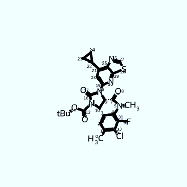 Cc1ccc(N(C)C(=O)[C@@H]2CN(C(=O)OC(C)(C)C)C(=O)N2c2cc(C3CC3)c3ncsc3n2)c(F)c1Cl